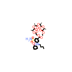 CCCCNc1cc(C(=O)OCC(=O)O[C@@H](C)C(=O)O[C@@H](C)C(=O)O[C@@H](C)C(=O)O[C@@H](C)C(=O)OCC)cc(S(N)(=O)=O)c1Oc1ccccc1